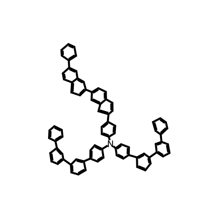 c1ccc(-c2cccc(-c3cccc(-c4ccc(N(c5ccc(-c6cccc(-c7cccc(-c8ccccc8)c7)c6)cc5)c5ccc(-c6ccc7ccc(-c8ccc9ccc(-c%10ccccc%10)cc9c8)cc7c6)cc5)cc4)c3)c2)cc1